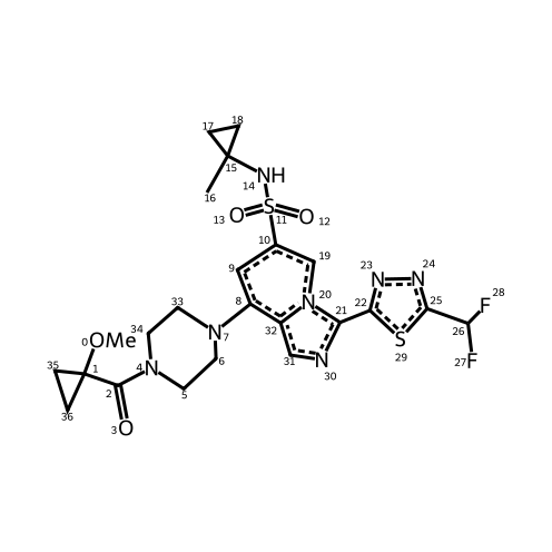 COC1(C(=O)N2CCN(c3cc(S(=O)(=O)NC4(C)CC4)cn4c(-c5nnc(C(F)F)s5)ncc34)CC2)CC1